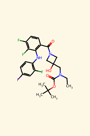 CCN(CC1(O)CN(C(=O)c2ccc(F)c(F)c2Nc2ccc(I)cc2F)C1)C(=O)OC(C)(C)C